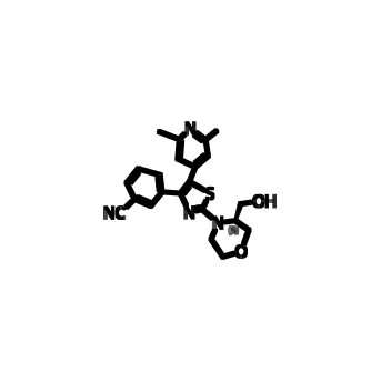 Cc1cc(-c2sc(N3CCOC[C@@H]3CO)nc2-c2cccc(C#N)c2)cc(C)n1